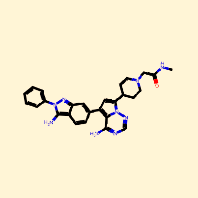 CNC(=O)CN1CCC(c2cc(-c3ccc4c(N)n(-c5ccccc5)nc4c3)c3c(N)ncnn23)CC1